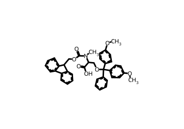 COc1ccc(C(OCC(C(=O)O)N(C)C(=O)OCC2c3ccccc3-c3ccccc32)(c2ccccc2)c2ccc(OC)cc2)cc1